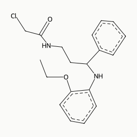 CCOc1ccccc1NC(CCNC(=O)CCl)c1ccccc1